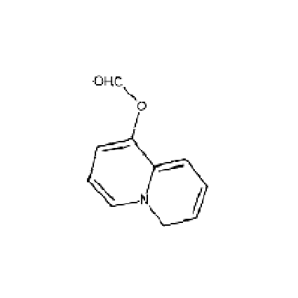 O=[C]OC1=CC=CN2CC=CC=C12